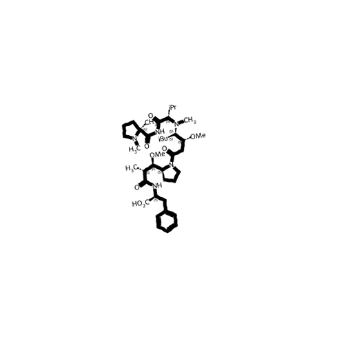 CC[C@H](C)[C@@H]([C@@H](CC(=O)N1CCC[C@H]1[C@H](OC)[C@@H](C)C(=O)N[C@@H](Cc1ccccc1)C(=O)O)OC)N(C)[C@H](C(=O)NC(=O)[C@]1(C)CCCN1C)C(C)C